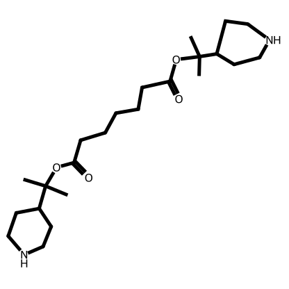 CC(C)(OC(=O)CCCCCC(=O)OC(C)(C)C1CCNCC1)C1CCNCC1